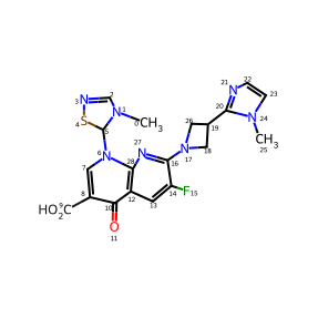 CN1C=NSC1n1cc(C(=O)O)c(=O)c2cc(F)c(N3CC(c4nccn4C)C3)nc21